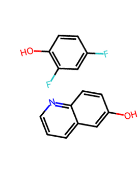 Oc1ccc(F)cc1F.Oc1ccc2ncccc2c1